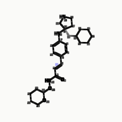 O=C(/C=C/c1ccc(N[C@]2(CC3CCCCC3)CCNC2)cc1)NOC1CCCCO1